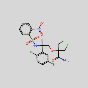 CC(COC(CF)(CF)C(N)=O)(NS(=O)(=O)c1ccccc1[N+](=O)[O-])c1cc(Br)ccc1F